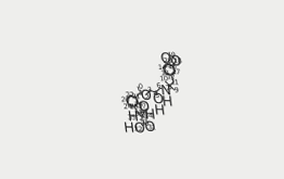 C[C@@H](OC[C@H](O)CNC(C)(C)Cc1ccc2c(c1)OCO2)c1cccc2c1O[C@@H]1[C@@H](C(=O)O)[C@H]21